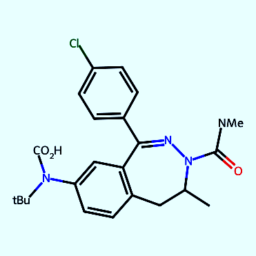 CNC(=O)N1N=C(c2ccc(Cl)cc2)c2cc(N(C(=O)O)C(C)(C)C)ccc2CC1C